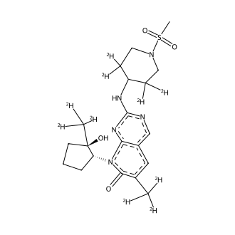 [2H]C([2H])([2H])c1cc2cnc(NC3C([2H])([2H])CN(S(C)(=O)=O)CC3([2H])[2H])nc2n([C@@H]2CCC[C@]2(O)C([2H])([2H])[2H])c1=O